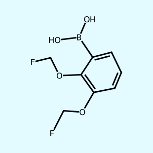 OB(O)c1cccc(OCF)c1OCF